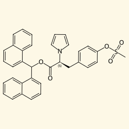 CS(=O)(=O)Oc1ccc(C[C@@H](C(=O)OC(c2cccc3ccccc23)c2cccc3ccccc23)n2cccc2)cc1